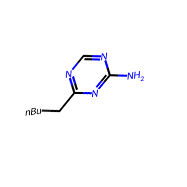 CCCCCc1ncnc(N)n1